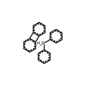 c1ccc([SiH2]c2ccccc2)cc1.c1ccc2c(c1)-c1ccccc1-2